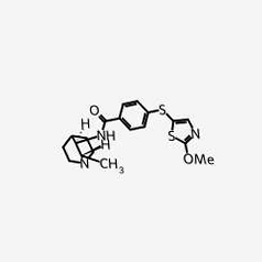 COc1ncc(Sc2ccc(C(=O)N[C@@H]3C4CCN(CC4)[C@H]3C)cc2)s1